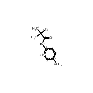 CCC(C)(C)C(=O)Nc1ccc(C)cn1